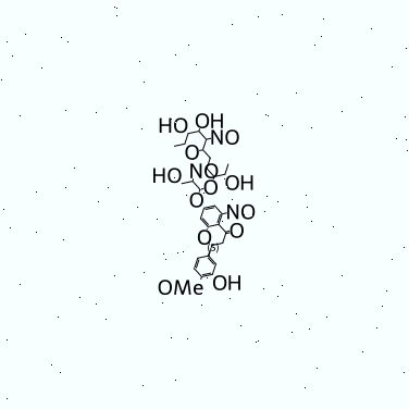 COc1ccc([C@@H]2CC(=O)c3c(N=O)cc(OC(OC(CCC4OC(C)C(O)C(O)C4N=O)C(C)O)C(CO)N=O)cc3O2)cc1O